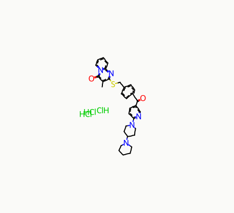 Cc1c(SCc2ccc(C(=O)c3ccc(N4CCC(N5CCCCC5)CC4)nc3)cc2)nc2ccccn2c1=O.Cl.Cl.Cl